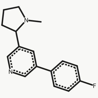 CN1CCCC1c1cncc(-c2ccc(F)cc2)c1